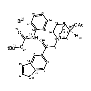 CC(=O)O[C@H]1C[N+]2(CC(=O)c3ccc4sccc4c3)CCC1CC2.CC(C)(C)OC(=O)Nc1ccccc1.[Br-]